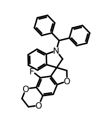 Fc1c2c(cc3c1C1(CO3)CN(C(c3ccccc3)c3ccccc3)c3ccccc31)OCCO2